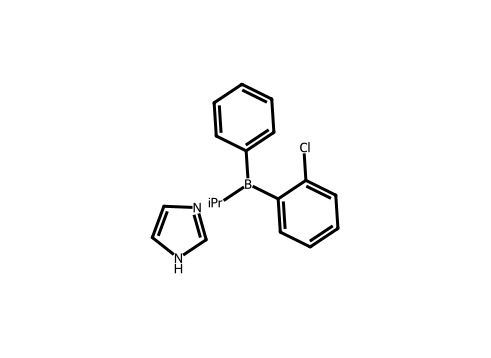 CC(C)B(c1ccccc1)c1ccccc1Cl.c1c[nH]cn1